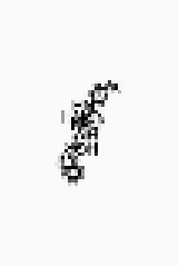 CC(=O)N1CCC(Nc2ncnc3c(NC[C@@H](O)CN4CCc5ccccc5C4)n[nH]c23)CC1